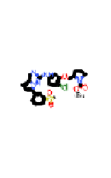 CC(C)(C)OC(=O)N1CCCC1COc1cc(Nc2ncc3ccc(-c4cccc(S(C)(=O)=O)c4)n3n2)ccc1Cl